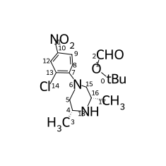 CC(C)(C)OC=O.C[C@@H]1CN(c2ccc([N+](=O)[O-])cc2Cl)C[C@H](C)N1